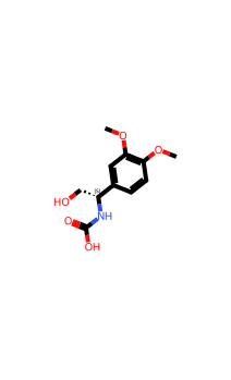 COc1ccc([C@@H](CO)NC(=O)O)cc1OC